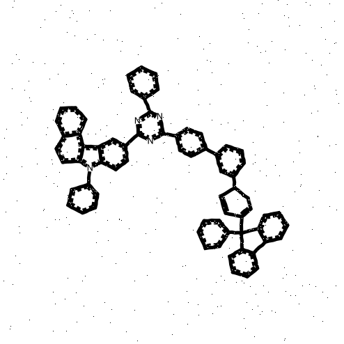 C1=CC(c2cccc(-c3ccc(-c4nc(-c5ccccc5)nc(-c5ccc6c(c5)c5c7ccccc7ccc5n6-c5ccccc5)n4)cc3)c2)CC=C1C1(c2ccccc2)c2ccccc2-c2ccccc21